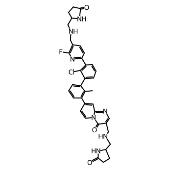 Cc1c(-c2ccn3c(=O)c(CNCC4CCC(=O)N4)cnc3c2)cccc1-c1cccc(-c2ccc(CNCC3CCC(=O)N3)c(F)n2)c1Cl